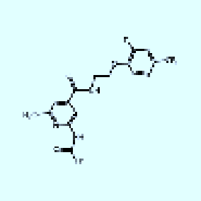 Cc1cc(C(=O)NCCOc2ncc(C(F)(F)F)cc2F)cc(NC(=O)C(C)C)n1